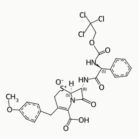 COc1ccc(CC2=C(C(=O)O)N3C(=O)[C@@H](NC(=O)[C@@H](NC(=O)OCC(Cl)(Cl)Cl)c4ccccc4)[C@@H]3[S+]([O-])C2)cc1